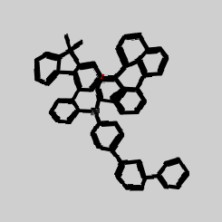 CC1(C)c2ccccc2-c2c(-c3ccccc3N(c3ccc(-c4cccc(-c5ccccc5)c4)cc3)c3ccc(-c4cccc5cccc(-c6ccccc6)c45)cc3)cccc21